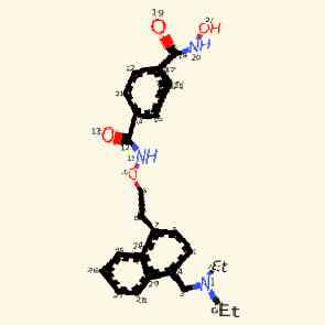 CCN(CC)Cc1ccc(CCONC(=O)c2ccc(C(=O)NO)cc2)c2ccccc12